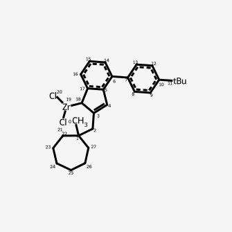 CC1(CC2=Cc3c(-c4ccc(C(C)(C)C)cc4)cccc3[CH]2[Zr]([Cl])[Cl])CCCCCC1